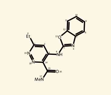 CCc1cc(Nc2nc3ccccc3o2)c(C(=O)NC)nn1